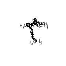 CC(C)(C)OC(=O)Cc1ccc(OC(=O)c2ccc(N)cc2C#CCOCCOCC#C[Si](C)(C)C)c2ncnn12